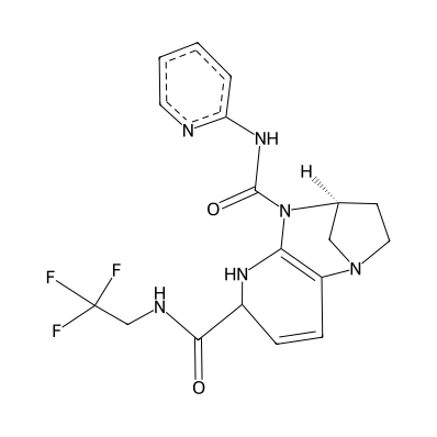 O=C(NCC(F)(F)F)C1C=CC2=C(N1)N(C(=O)Nc1ccccn1)[C@H]1CCN2C1